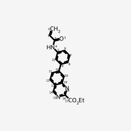 C=CC(=O)Nc1cccc(-c2ccc3cnc(C(=O)OCC)nc3c2)c1